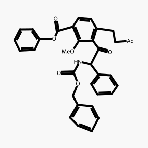 COc1c(C(=O)Oc2ccccc2)ccc(CCC(C)=O)c1C(=O)C(NC(=O)OCc1ccccc1)c1ccccc1